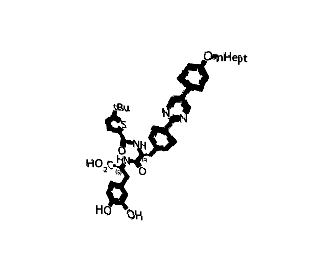 CCCCCCCOc1ccc(-c2cnc(-c3ccc(C[C@H](NC(=O)c4ccc(C(C)(C)C)s4)C(=O)N[C@@H](Cc4ccc(O)c(O)c4)C(=O)O)cc3)nc2)cc1